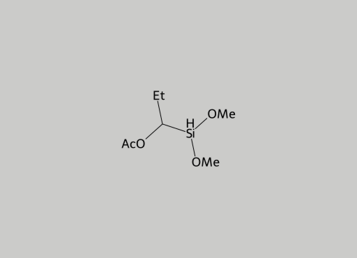 CCC(OC(C)=O)[SiH](OC)OC